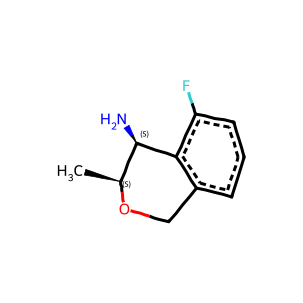 C[C@@H]1OCc2cccc(F)c2[C@@H]1N